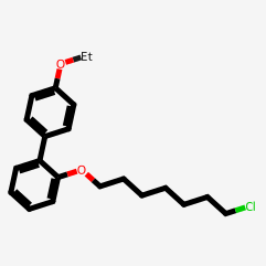 CCOc1ccc(-c2ccccc2OCCCCCCCCl)cc1